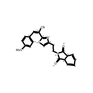 CSc1ccc(/C=C(/C#N)c2nc(CCN3C(=O)C4C=CC=CC4C3=O)cs2)cc1